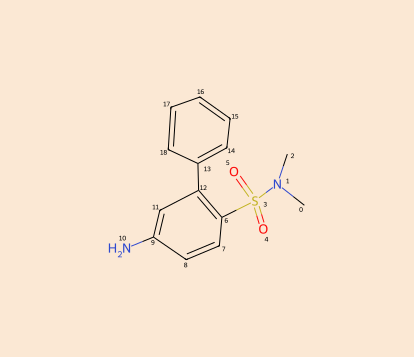 CN(C)S(=O)(=O)c1ccc(N)cc1-c1ccccc1